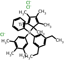 CCc1cc(CC)cc([Si](c2ccccc2)(c2cc(C)c(C)c(C)c2)C2(C)C(C)=C(C)C(C)=[C]2[Ti+3])c1.[Cl-].[Cl-].[Cl-]